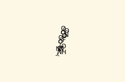 COc1ccc2c(Oc3ccc(-c4cnc(NCC(C)C)n(C)c4=O)cc3F)ccnc2c1OC